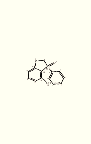 O=[P@@]1(c2ccccc2)COc2cccc(O)c21